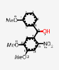 COc1cccc(C(O)c2cc(OC)c(OC)cc2[N+](=O)[O-])c1